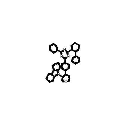 C1=C(c2ccccc2)C(c2nc(-c3ccccc3)nc(-c3ccc(-c4ccccc4-n4c5ccccc5c5ccccc54)cc3)n2)=CCC1